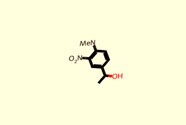 CNc1ccc(C(C)O)cc1[N+](=O)[O-]